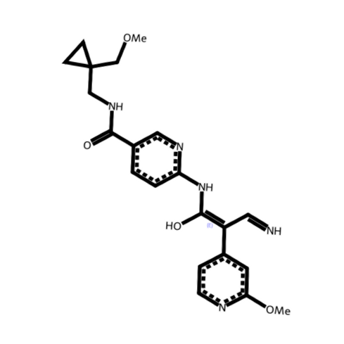 COCC1(CNC(=O)c2ccc(N/C(O)=C(\C=N)c3ccnc(OC)c3)nc2)CC1